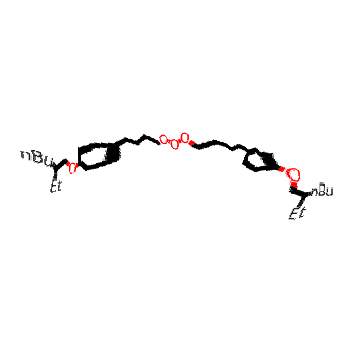 CCCCC(CC)COc1ccc(CCCCOOOCCCCc2ccc(OCC(CC)CCCC)cc2)cc1